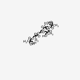 CCC(C)(COC(=O)C(C)(CO)CO)C(=O)OCCOC(=O)C(C)(COC(=O)C(C)(CO)CO)COC(=O)C(C)(CO)CO